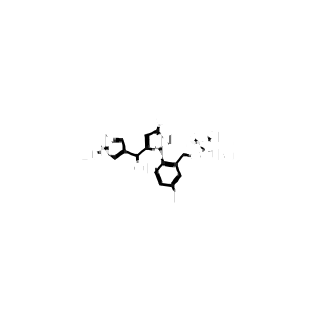 CCn1cc(C(O)c2cc(Cl)nn2-c2ccc(F)cc2CO[Si](C)(C)C(C)(C)C)cn1